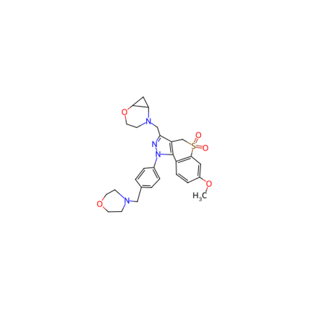 COc1ccc2c(c1)S(=O)(=O)Cc1c(CN3CCOC4CC43)nn(-c3ccc(CN4CCOCC4)cc3)c1-2